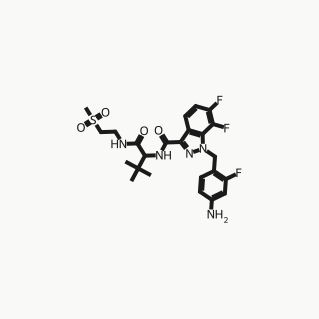 CC(C)(C)C(NC(=O)c1nn(Cc2ccc(N)cc2F)c2c(F)c(F)ccc12)C(=O)NCCS(C)(=O)=O